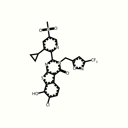 CS(=O)(=O)c1cnc(-c2nc3sc4c(O)c(Cl)ccc4c3c(=O)n2Cc2cc(C(F)(F)F)no2)c(C2CC2)c1